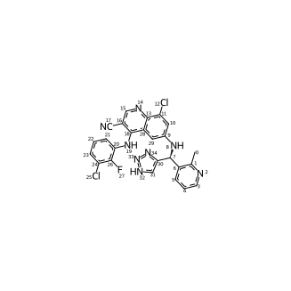 Cc1ncccc1[C@H](Nc1cc(Cl)c2ncc(C#N)c(Nc3cccc(Cl)c3F)c2c1)c1c[nH]nn1